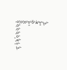 [Al+3].[Al+3].[Lu+3].[Lu+3].[O-2].[O-2].[O-2].[O-2].[O-2].[O-2].[O-2].[O-2].[O-2].[Y+3].[Y+3]